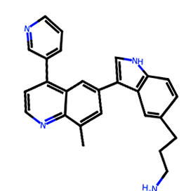 Cc1cc(-c2c[nH]c3ccc(CCCN)cc23)cc2c(-c3cccnc3)ccnc12